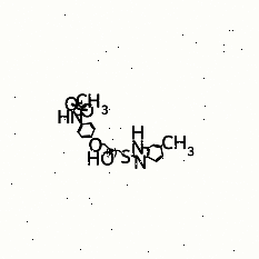 Cc1ccc2nc(SC[C@H](O)COc3ccc(NS(C)(=O)=O)cc3)[nH]c2c1